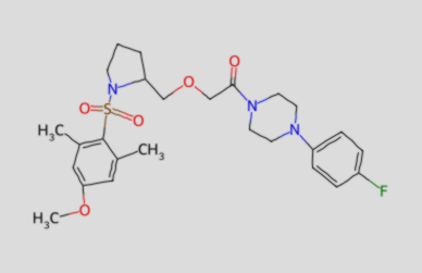 COc1cc(C)c(S(=O)(=O)N2CCCC2COCC(=O)N2CCN(c3ccc(F)cc3)CC2)c(C)c1